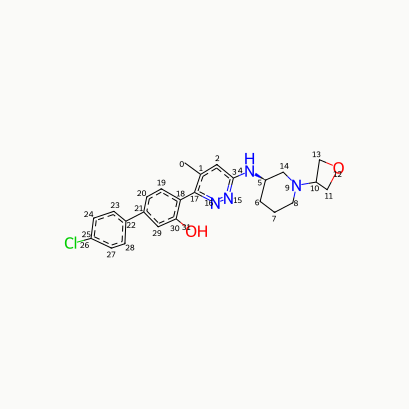 Cc1cc(N[C@@H]2CCCN(C3COC3)C2)nnc1-c1ccc(-c2ccc(Cl)cc2)cc1O